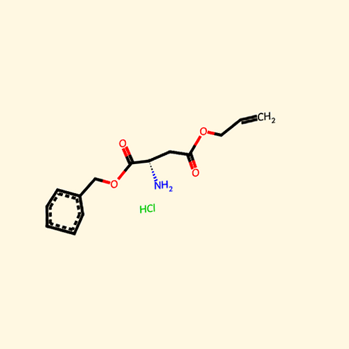 C=CCOC(=O)C[C@H](N)C(=O)OCc1ccccc1.Cl